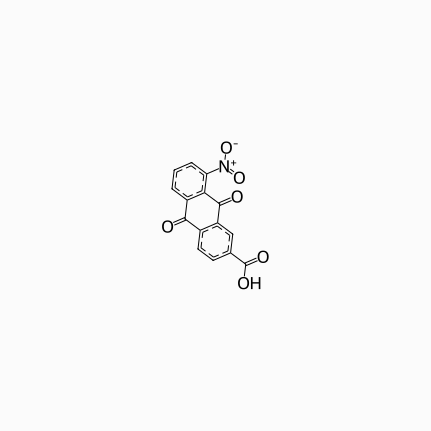 O=C(O)c1ccc2c(c1)C(=O)c1c(cccc1[N+](=O)[O-])C2=O